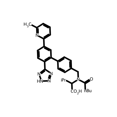 CCCCC(=O)N(Cc1ccc(-c2cc(-c3cccc(C)n3)ccc2-c2nn[nH]n2)cc1)C(C(=O)O)C(C)C